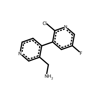 NCc1cnccc1-c1cc(F)cnc1Cl